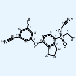 N#CN=S(=O)(CF)c1ccc(Oc2cc(F)cc(C#N)c2)c2c1CCC2